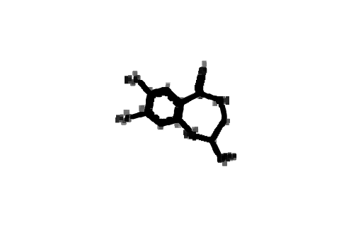 COC1CNC(=O)c2cc(C)c(C)cc2N1